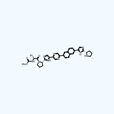 COC(=O)N[C@H](C(=O)N1CCC[C@H]1c1ncc(-c2cnc(-c3ccc4cc(-c5cnc([C@@H]6CCCN6)[nH]5)ccc4c3)cn2)[nH]1)C(C)C